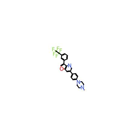 CN1CCN(c2ccc(-c3cnc4c(-c5cccc(C(F)(F)C(F)(F)F)c5)coc4c3)cc2)CC1